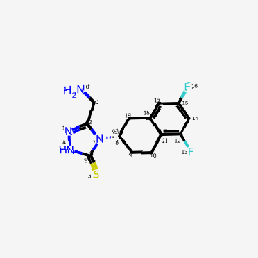 NCc1n[nH]c(=S)n1[C@H]1CCc2c(F)cc(F)cc2C1